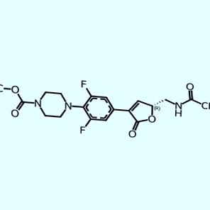 COC(=O)N1CCN(c2c(F)cc(C3=C[C@H](CNC(C)=O)OC3=O)cc2F)CC1